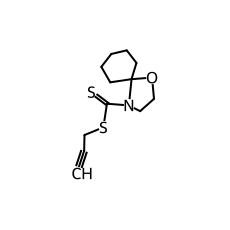 C#CCSC(=S)N1CCOC12CCCCC2